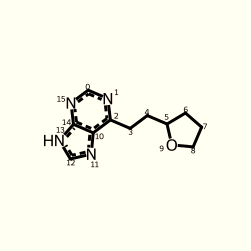 c1nc(CCC2CCCO2)c2nc[nH]c2n1